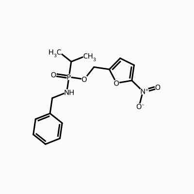 CC(C)P(=O)(NCc1ccccc1)OCc1ccc([N+](=O)[O-])o1